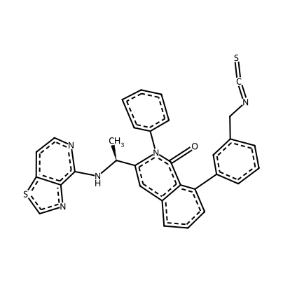 C[C@H](Nc1nccc2scnc12)c1cc2cccc(-c3cccc(CN=C=S)c3)c2c(=O)n1-c1ccccc1